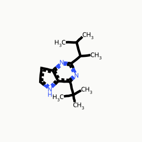 CC(C)C(C)c1nc(C(C)(C)C)c2[nH]ccc2n1